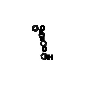 O=C(c1ccccc1)N1CCN(c2ccc(OC[C@H]3CCCNC3)cc2)CC1